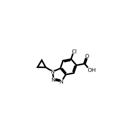 O=C(O)c1cc2nnn(C3CC3)c2cc1Cl